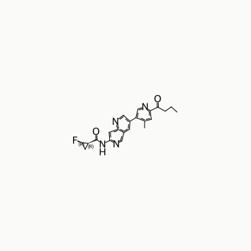 CCCC(=O)c1cc(C)c(-c2cnc3cc(NC(=O)[C@H]4C[C@H]4F)ncc3c2)cn1